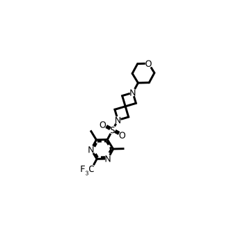 Cc1nc(C(F)(F)F)nc(C)c1S(=O)(=O)N1CC2(CN(C3CCOCC3)C2)C1